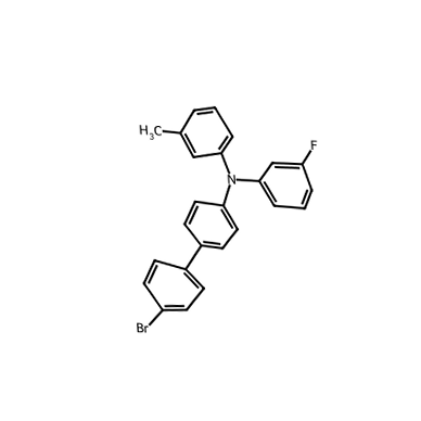 Cc1cccc(N(c2ccc(-c3ccc(Br)cc3)cc2)c2cccc(F)c2)c1